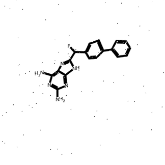 Nc1nc(N)c2nc(C(F)c3ccc(-c4ccccc4)cc3)[nH]c2n1